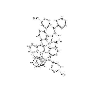 Cc1ccc(N(c2ccccc2)c2ccc3c(c2)C2(c4cc(N(c5ccccc5)c5ccc(C)cc5)ccc4-3)c3ccccc3-c3c2cc2c4c(cccc34)-c3ccccc3-2)cc1